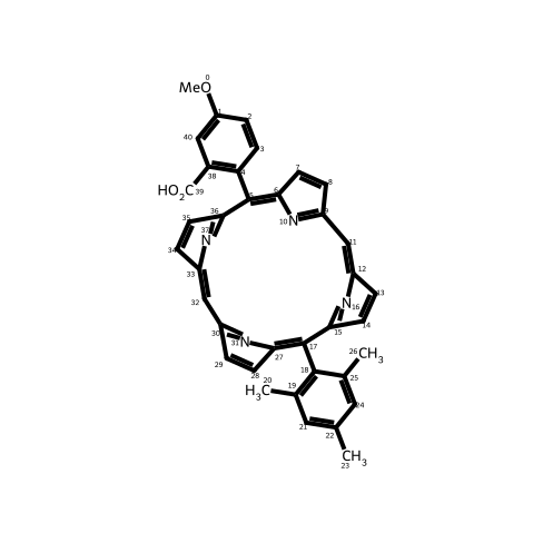 COc1ccc(C2=C3C=CC(=N3)C=C3C=CC(=N3)C(c3c(C)cc(C)cc3C)=C3C=CC(=N3)C=C3C=CC2=N3)c(C(=O)O)c1